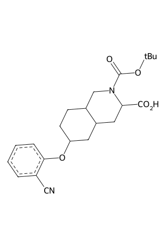 CC(C)(C)OC(=O)N1CC2CCC(Oc3ccccc3C#N)CC2CC1C(=O)O